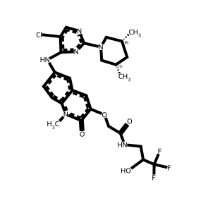 C[C@@H]1C[C@H](C)CN(c2ncc(Cl)c(Nc3ccc4c(c3)cc(OCC(=O)NCC(O)C(F)(F)F)c(=O)n4C)n2)C1